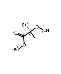 CC[C@@](C)(OC#N)C(=O)OC(C)(C)C